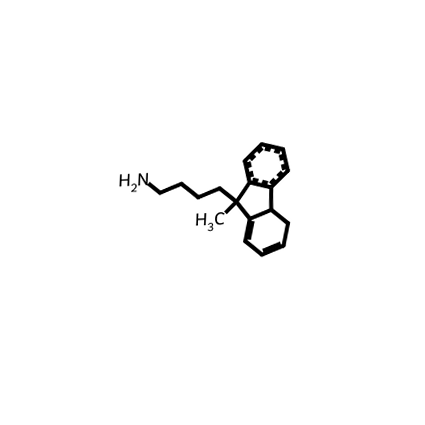 CC1(CCCCN)C2=CC=CCC2c2ccccc21